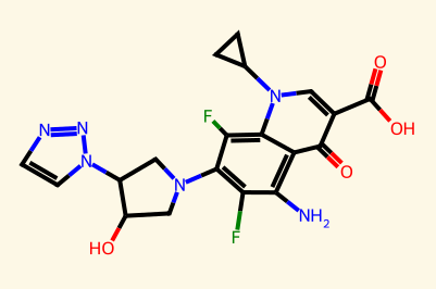 Nc1c(F)c(N2CC(O)C(n3ccnn3)C2)c(F)c2c1c(=O)c(C(=O)O)cn2C1CC1